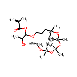 C=C(C)C(=O)OC(OCCC[Si](C)(C)O[Si](C)(C)O[Si](C)(C)O[Si](C)(C)O[SiH2]CCCC)C(C)O